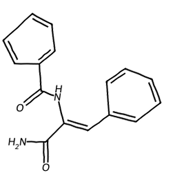 NC(=O)C(=Cc1ccccc1)NC(=O)c1ccccc1